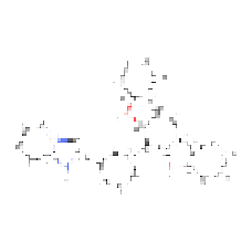 c1cc(-c2cn3ccccc3n2)cc(-c2c3oc4ccccc4c3cc3c2oc2ccccc23)c1